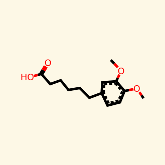 COc1ccc(CCCCCC(=O)O)cc1OC